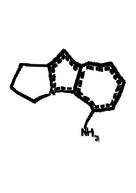 Nc1cccc2cc3n(c12)CCC3